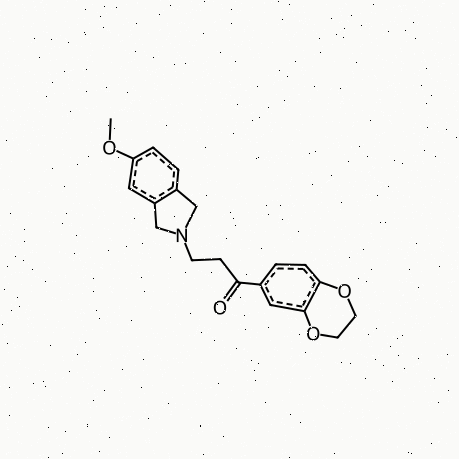 COc1ccc2c(c1)CN(CCC(=O)c1ccc3c(c1)OCCO3)C2